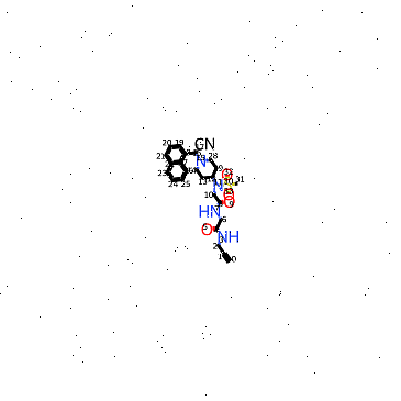 C#CCNC(=O)CNC(=O)CN(C1CCN(C(C#N)c2cccc3ccccc23)CC1)S(C)(=O)=O